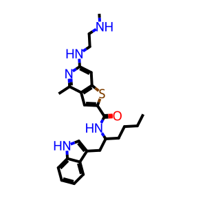 CCCCC(Cc1c[nH]c2ccccc12)NC(=O)c1cc2c(C)nc(NCCNC)cc2s1